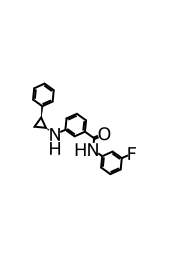 O=C(Nc1cccc(F)c1)c1cccc(N[C@@H]2C[C@H]2c2ccccc2)c1